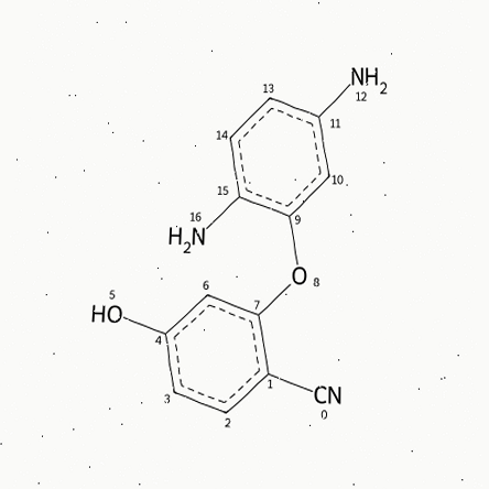 N#Cc1ccc(O)cc1Oc1cc(N)ccc1N